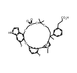 Cn1cc2nc1-c1cc(ccc1F)Oc1c(F)cc3[nH]ccc3c1CCS(=O)(=O)CC(C)(C)CCCC2(C)c1cccc(CCC(=O)O)c1